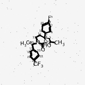 CC(O)C[C@]1(c2ccc(F)cc2)CCN([C@@H](C)c2ccc(C(F)(F)F)cc2)C(=O)O1